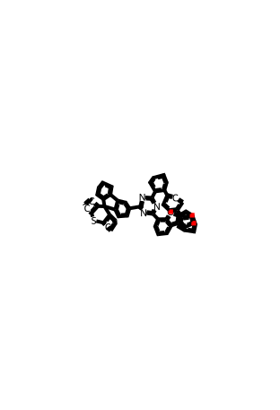 c1ccc(-c2ccc(-c3ccccc3-c3nc(-c4ccc5c(c4)-c4ccccc4C54c5ccccc5Sc5ccccc54)nc(-c4cccc5c4oc4ccccc45)n3)cc2)cc1